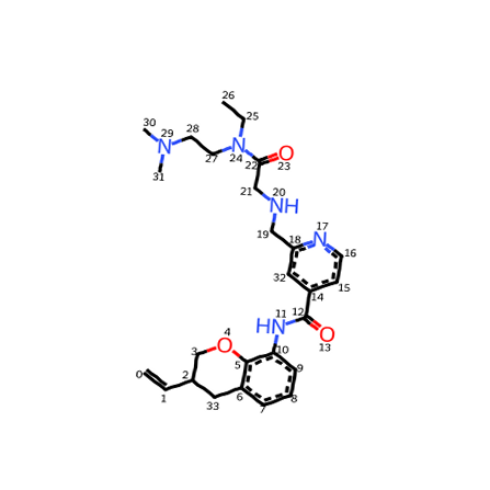 C=CC1COc2c(cccc2NC(=O)c2ccnc(CNCC(=O)N(CC)CCN(C)C)c2)C1